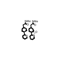 CNC(=O)Cc1ccc(-c2ccccn2)cc1.CNC(=O)Cc1ccc(-c2ccccn2)cc1.O